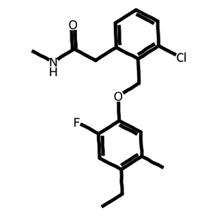 CCc1cc(F)c(OCc2c(Cl)cccc2CC(=O)NC)cc1C